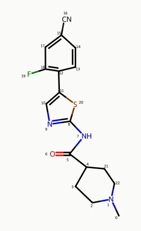 CN1CCC(C(=O)Nc2ncc(-c3ccc(C#N)cc3F)s2)CC1